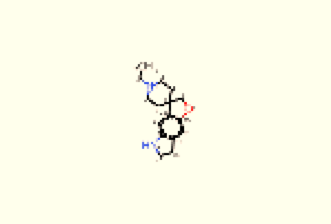 CCN1CCC2(CC1)COc1cc3c(cc12)NCC3